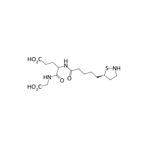 O=C(O)CCC(NC(=O)CCCC[C@@H]1CCNS1)C(=O)NCC(=O)O